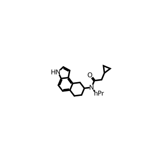 CCCN(C(=O)CC1CC1)C1CCc2ccc3[nH]ccc3c2C1